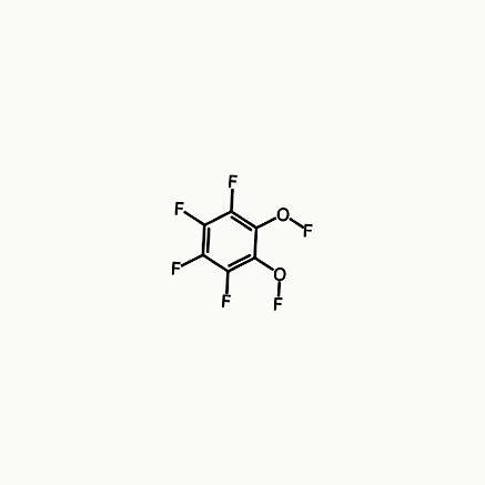 FOc1c(F)c(F)c(F)c(F)c1OF